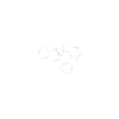 CC(C)(O)c1cccc2oc3cccc(-c4cc5ccccc5cn4)c3c12